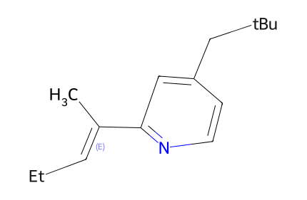 CC/C=C(\C)c1cc(CC(C)(C)C)ccn1